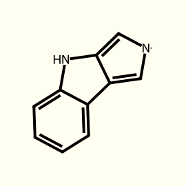 C1=c2[nH]c3ccccc3c2=C[N]1